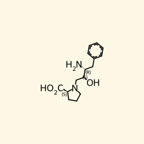 N[C@H](Cc1ccccc1)[C@@H](O)CN1CCC[C@H]1C(=O)O